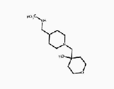 O=C(O)NCC1CCN(CC2(O)CCOCC2)CC1